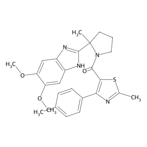 COc1cc2nc(C3(C)CCCN3C(=O)c3sc(C)nc3-c3ccc(C)cc3)[nH]c2cc1OC